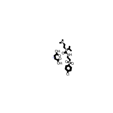 CC(C)N(CCN(C)C)C(=O)NCCS(=O)(=O)c1ccc(Cl)cc1.O=C(O)/C=C\C(=O)O